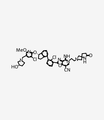 COc1nc(O[C@H]2CCc3c(-c4cccc(-c5nc6c(=N)n(CCN7CC8(CCC(=O)N8)C7)cc(C#N)c6o5)c4Cl)cccc32)c(Cl)cc1CN1CC[C@@H](O)C1